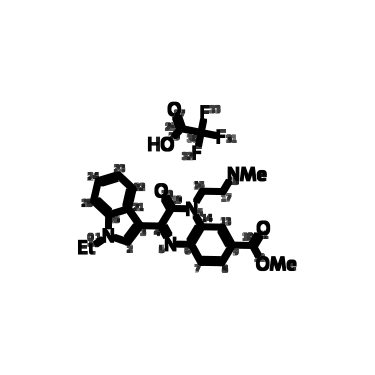 CCn1cc(-c2nc3ccc(C(=O)OC)cc3n(CCNC)c2=O)c2ccccc21.O=C(O)C(F)(F)F